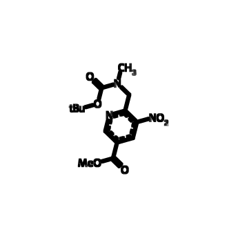 COC(=O)c1cnc(CN(C)C(=O)OC(C)(C)C)c([N+](=O)[O-])c1